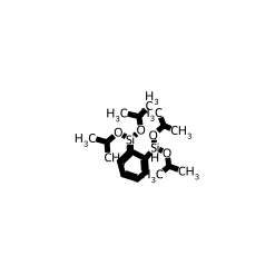 CC(C)O[SiH](OC(C)C)c1ccccc1[SiH](OC(C)C)OC(C)C